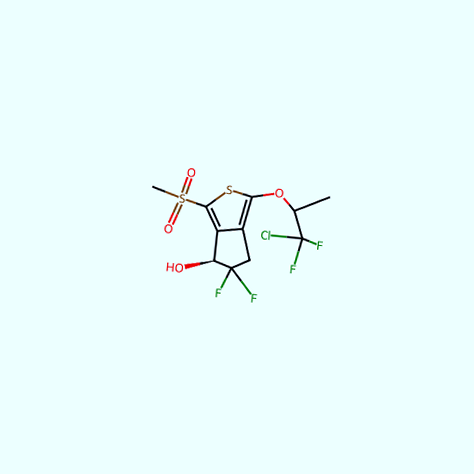 CC(Oc1sc(S(C)(=O)=O)c2c1CC(F)(F)[C@H]2O)C(F)(F)Cl